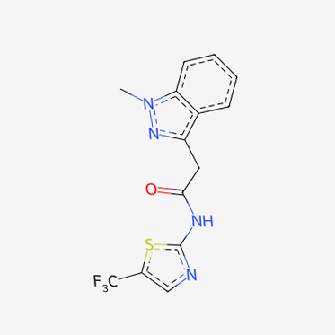 Cn1nc(CC(=O)Nc2ncc(C(F)(F)F)s2)c2ccccc21